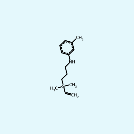 C=C[Si](C)(C)CCCNc1cccc(C)c1